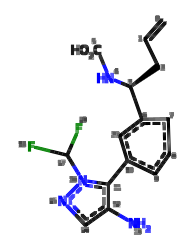 C=CC[C@H](NC(=O)O)c1cccc(-c2c(N)cnn2C(F)F)c1